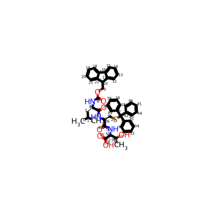 CC(C)C[C@H](NC(=O)OCC1c2ccccc2-c2ccccc21)C(=O)N[C@@H](CSC(c1ccccc1)(c1ccccc1)c1ccccc1)C(=O)N[C@H](C(=O)O)[C@@H](C)O